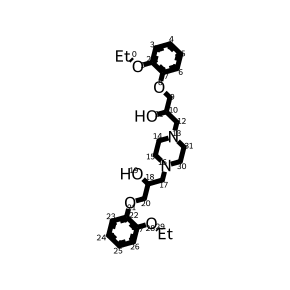 CCOc1ccccc1OCC(O)CN1CCN(CC(O)COc2ccccc2OCC)CC1